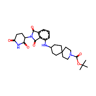 CC(C)(C)OC(=O)N1CCC2(CCC(Nc3cccc4c3C(=O)N(C3CCC(=O)NC3=O)C4=O)CC2)CC1